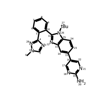 Cn1cnc(-c2ccccc2-c2nc3cc(-c4cnc(N)nc4)ccc3n2C(C)(C)C)n1